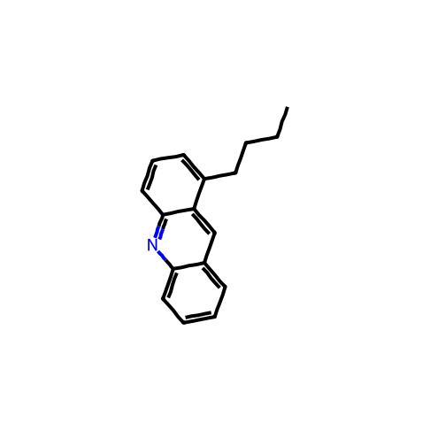 CCCCc1cccc2nc3ccccc3cc12